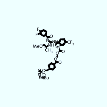 COC[C@H](C)NC(=NC(=O)c1ccc(F)c(F)c1)Nc1nn(C(=O)OCOC(=O)c2ccc(COP(=O)(OC(C)(C)C)OC(C)(C)C)cc2)c2cc(C(F)(F)F)ccc12